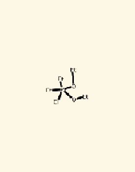 CCOP(Cl)(CC)(CC)OCC